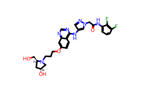 O=C(Cn1cc(Nc2ncnc3cc(OCCCN4C[C@H](O)C[C@H]4CO)ccc23)cn1)Nc1cccc(F)c1F